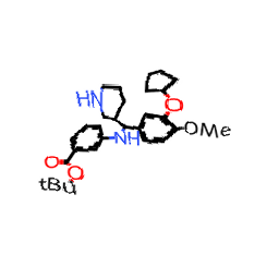 COc1ccc(C(Nc2cccc(C(=O)OC(C)(C)C)c2)C2CCCNC2)cc1OC1CCCC1